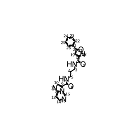 O=C(NCCCNC(=O)c1cnc2ccncn12)c1cc(-c2ccccc2)on1